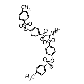 Cc1ccc(S(=O)(=O)Oc2ccc(S(=O)(=O)C(=[N+]=[N-])S(=O)(=O)c3ccc(OS(=O)(=O)c4ccc(C)cc4)cc3)cc2)cc1